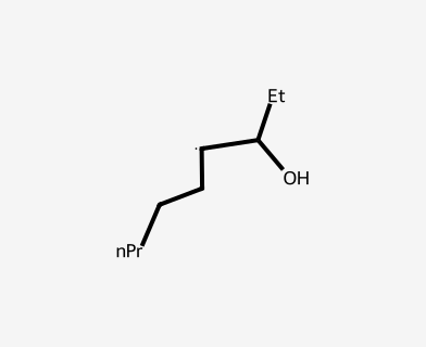 CCCCC[CH]C(O)CC